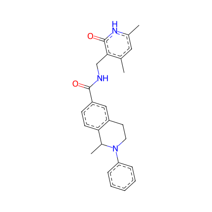 Cc1cc(C)c(CNC(=O)c2ccc3c(c2)CCN(c2ccccc2)C3C)c(=O)[nH]1